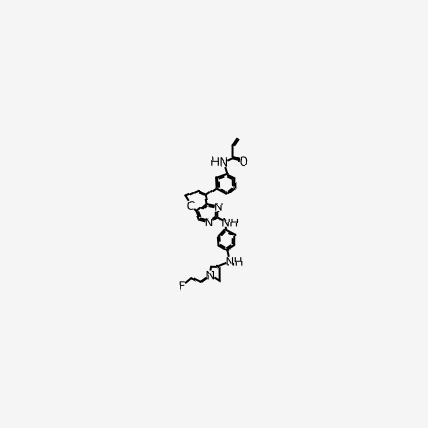 C=CC(=O)Nc1cccc(C2=CCCc3cnc(Nc4ccc(NC5CN(CCF)C5)cc4)nc32)c1